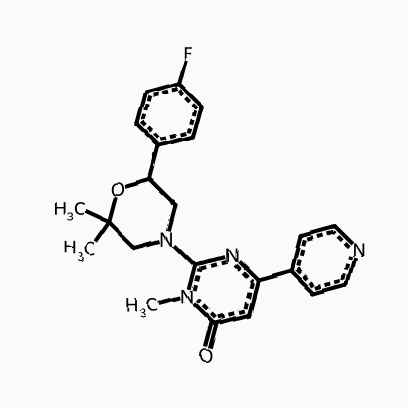 Cn1c(N2CC(c3ccc(F)cc3)OC(C)(C)C2)nc(-c2ccncc2)cc1=O